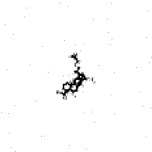 CCC(=O)C1(C)CCCC2(C)C1CCC13C=C4C(C)C1C(C(=O)COCC1CO1)C4CC23